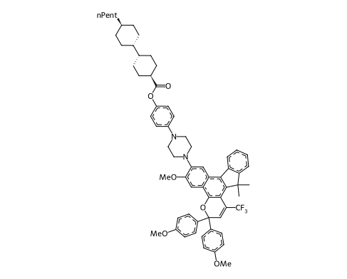 CCCCC[C@H]1CC[C@H]([C@H]2CC[C@H](C(=O)Oc3ccc(N4CCN(c5cc6c7c(c8c(c6cc5OC)OC(c5ccc(OC)cc5)(c5ccc(OC)cc5)C=C8C(F)(F)F)C(C)(C)c5ccccc5-7)CC4)cc3)CC2)CC1